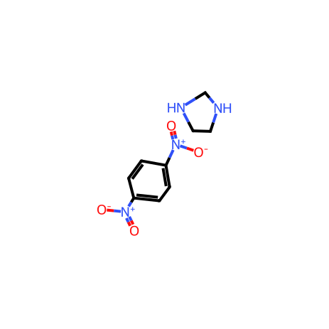 C1CNCN1.O=[N+]([O-])c1ccc([N+](=O)[O-])cc1